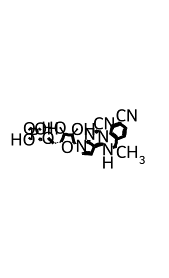 C[C@@H](Nc1nc(C#N)nc2c1ccn2[C@@H]1O[C@H](COCP(=O)(O)O)[C@@H](O)[C@H]1O)c1ccc(C#N)cc1